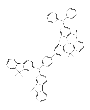 CC1(C)c2ccccc2-c2ccc(N(c3ccc(-c4cc5c6c(c4)c4cc(N(c7ccccc7)C7C=CC=CC7)cc7c4n6-c4c(cccc4C7(C)C)C5(C)C)cc3)c3ccc4c(c3)C(C)(C)c3ccccc3-4)cc21